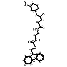 COC1CCC[C@@H](C[C@@H](C)CCC(=O)NCCNC(=O)OCC2c3ccccc3-c3ccccc32)C1